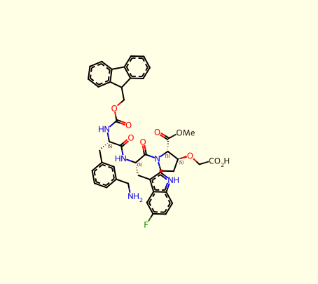 COC(=O)[C@@H]1[C@@H](OCC(=O)O)CCN1C(=O)[C@H](Cc1c[nH]c2ccc(F)cc12)NC(=O)[C@H](Cc1cccc(CN)c1)NC(=O)OCC1c2ccccc2-c2ccccc21